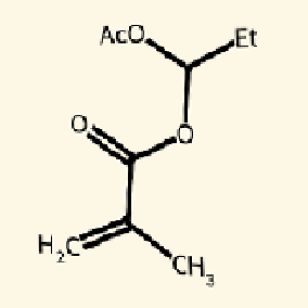 C=C(C)C(=O)OC(CC)OC(C)=O